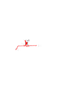 CCCCC/C=C\CCCCCCCC(=O)O[C@H](COC(=O)CCCCCCCCCCCC)COP(=O)(O)OC[C@@H](O)CO